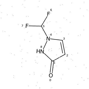 O=c1ccn(C(F)F)[nH]1